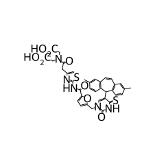 Cc1ccc2c(c1)C=Cc1cc(C)ccc1C2c1cn(Cc2ccc(C(=O)Nc3nc(CC(=O)N(CC(=O)O)CC(=O)O)cs3)o2)c(=O)[nH]c1=S